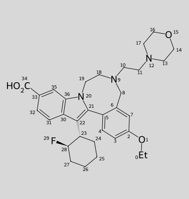 CCOc1ccc2c(c1)CN(CCN1CCOCC1)CCn1c-2c([C@@H]2CCCC[C@H]2F)c2ccc(C(=O)O)cc21